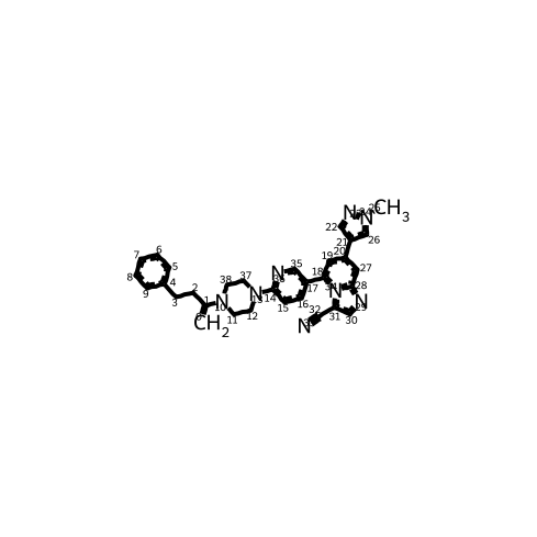 C=C(CCc1ccccc1)N1CCN(c2ccc(-c3cc(-c4cnn(C)c4)cc4ncc(C#N)n34)cn2)CC1